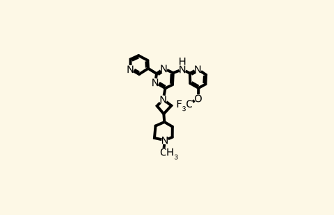 CN1CCC(C2CN(c3cc(Nc4cc(OC(F)(F)F)ccn4)nc(-c4cccnc4)n3)C2)CC1